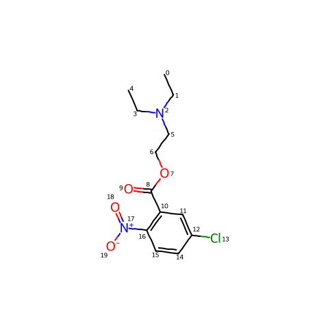 CCN(CC)CCOC(=O)c1cc(Cl)ccc1[N+](=O)[O-]